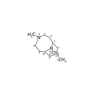 CC1CC2CCN(C)CCC(C1)N2C